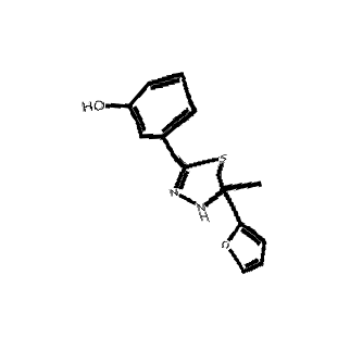 CC1(c2ccco2)NN=C(c2cccc(O)c2)S1